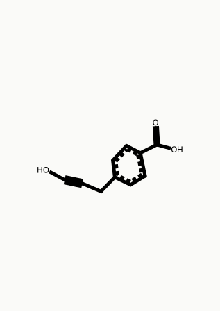 O=C(O)c1ccc(CC#CO)cc1